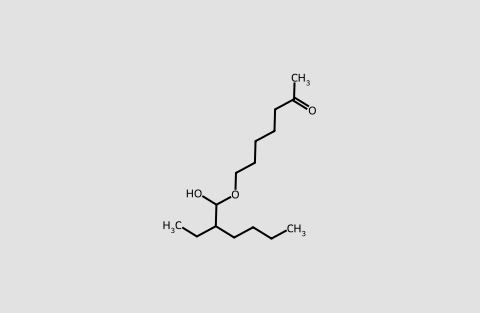 CCCCC(CC)C(O)OCCCCCC(C)=O